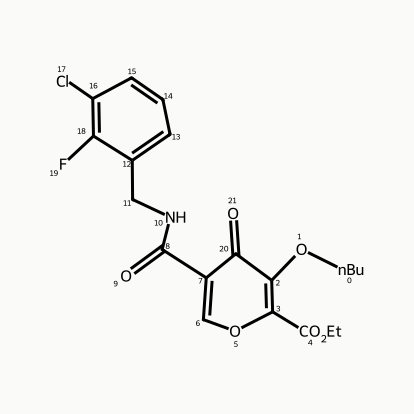 CCCCOc1c(C(=O)OCC)occ(C(=O)NCc2cccc(Cl)c2F)c1=O